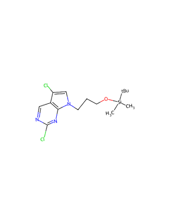 CC(C)(C)[Si](C)(C)OCCCn1cc(Cl)c2cnc(Cl)nc21